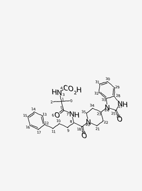 CC(C)(NC(=O)O)C(=O)NC(CCCc1ccccc1)C(=O)N1CCC(n2c(=O)[nH]c3ccccc32)CC1